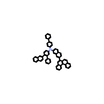 c1ccc(-c2ccc(N(c3ccc(-c4ccc5ccccc5c4)c(-c4ccccc4)c3)c3ccc4ccc(-c5cc6ccccc6c6c5ccc5ccccc56)cc4c3)cc2)cc1